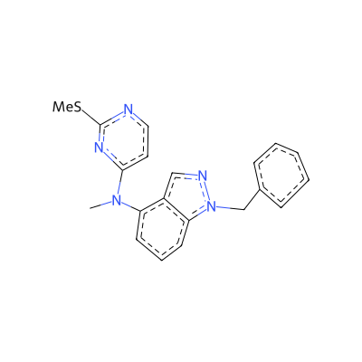 CSc1nccc(N(C)c2cccc3c2cnn3Cc2ccccc2)n1